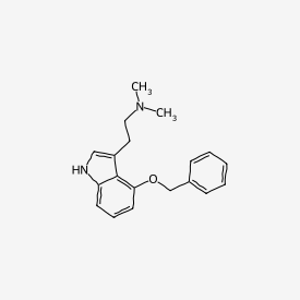 CN(C)CCc1c[nH]c2cccc(OCc3ccccc3)c12